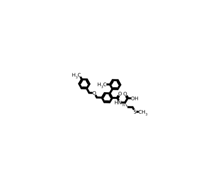 CSCC[C@H](NC(=O)c1ccc(COCc2ccc(C)cc2)cc1-c1ccccc1C)C(=O)O